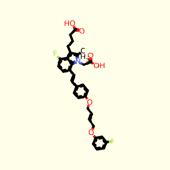 Cc1c(CCCC(=O)O)c2c(F)ccc(C=Cc3ccc(OCC=CCOc4cccc(F)c4)cc3)c2n1CC(=O)O